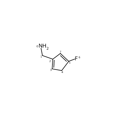 NCC1=CCC(F)=C1